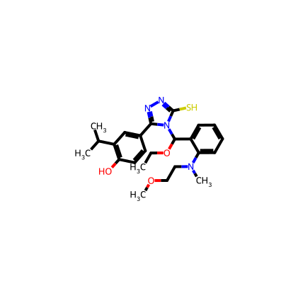 CCOC(c1ccccc1N(C)CCOC)n1c(S)nnc1-c1ccc(O)c(C(C)C)c1